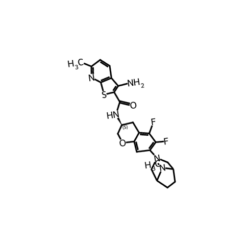 Cc1ccc2c(N)c(C(=O)N[C@@H]3COc4cc(N5CC6CCC(C5)N6C)c(F)c(F)c4C3)sc2n1